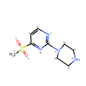 CS(=O)(=O)c1ccnc(N2CCNCC2)n1